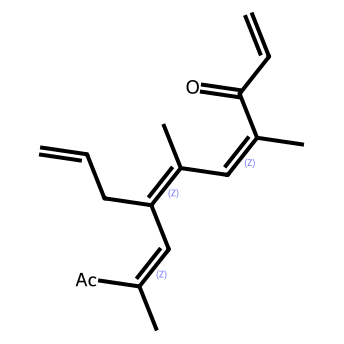 C=CCC(/C=C(/C)C(C)=O)=C(C)/C=C(/C)C(=O)C=C